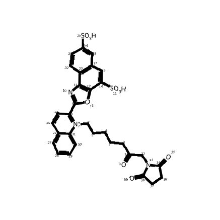 O=C(CCCCC[n+]1c(-c2nc3c(o2)c(S(=O)(=O)O)cc2cc(S(=O)(=O)O)ccc23)ccc2ccccc21)CN1C(=O)CCC1=O